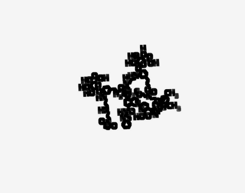 COCCN(CCOC12CC3(C)CC(C)(CC(Cn4ncc(-c5ccc(N6CCc7c(OC)ccc(C(=O)Nc8nc9ccccc9s8)c7C6)nc5C(=O)O)c4C)(C3)C1)C2)C(=O)OC/C=C/c1ccc(O[C@@H]2O[C@H](C(=O)O)[C@@H](O)[C@H](O)[C@H]2O)c(NCCCNC(=O)OC/C=C/c2ccc(O[C@@H]3O[C@H](C(=O)O)[C@@H](O)[C@H](O)[C@H]3O)c(NCCCNCCCN3C(=O)C=CC3=O)c2)c1